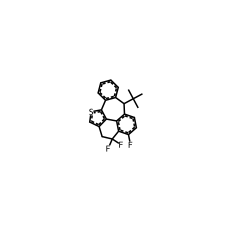 CC(C)(C)C1c2ccccc2-c2scc3c2-c2c1ccc(F)c2C(F)(F)C3